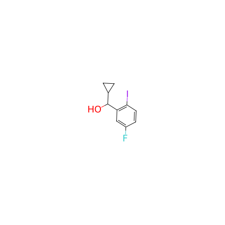 OC(c1cc(F)ccc1I)C1CC1